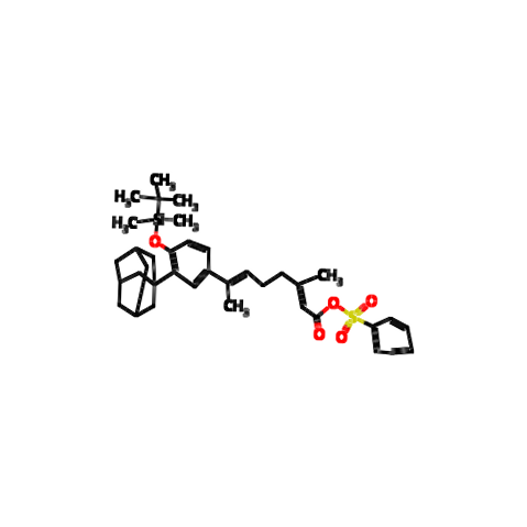 CC(=CC(=O)OS(=O)(=O)c1ccccc1)CCC=C(C)c1ccc(O[Si](C)(C)C(C)(C)C)c(C23CC4CC(CC(C4)C2)C3)c1